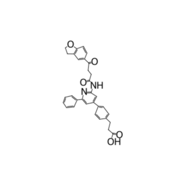 O=C(O)CCc1ccc(-c2cc(NC(=O)CCC(=O)c3ccc4c(c3)CCO4)nc(-c3ccccc3)c2)cc1